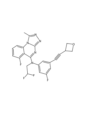 Cc1nnc2nc(N(CC(F)F)c3cc(F)cc(C#CC4COC4)c3)c3c(F)cccc3n12